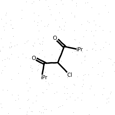 CC(C)C(=O)C(Cl)C(=O)C(C)C